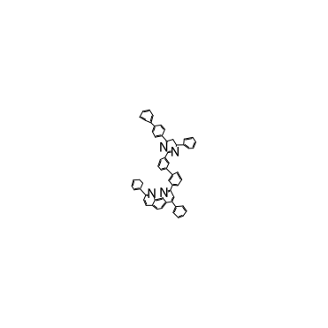 C1=CCCC(c2ccc3ccc4c(-c5ccccc5)cc(-c5cccc(-c6cccc(C7=NC(c8ccccc8)CC(c8ccc(-c9ccccc9)cc8)=N7)c6)c5)nc4c3n2)=C1